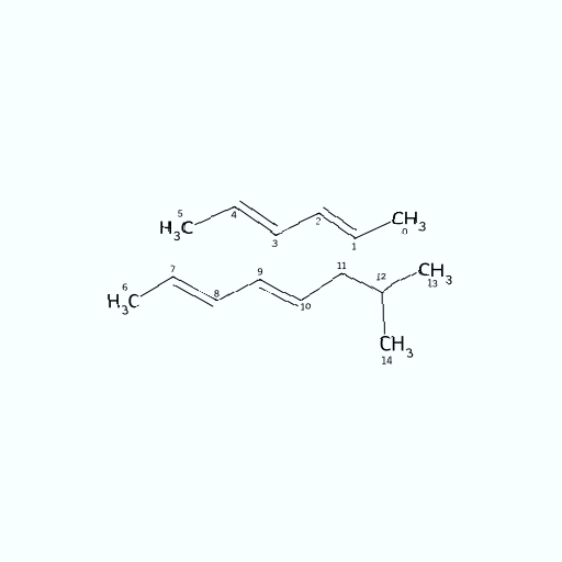 CC=CC=CC.CC=CC=CCC(C)C